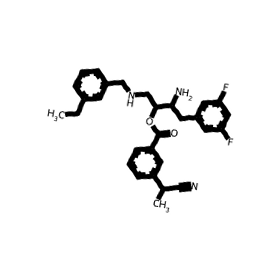 CCc1cccc(CNCC(OC(=O)c2cccc(C(C)C#N)c2)C(N)Cc2cc(F)cc(F)c2)c1